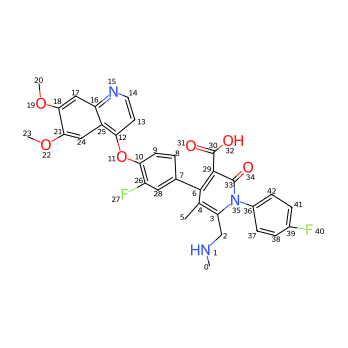 CNCc1c(C)c(-c2ccc(Oc3ccnc4cc(OC)c(OC)cc34)c(F)c2)c(C(=O)O)c(=O)n1-c1ccc(F)cc1